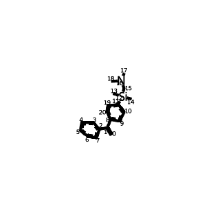 C=C(c1ccccc1)c1ccc([Si](C)(C)CN(C)C)cc1